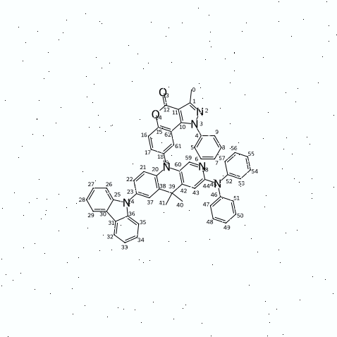 Cc1nn(-c2ccccc2)c2c1c(=O)oc1ccc(N3c4ccc(-n5c6ccccc6c6ccccc65)cc4C(C)(C)c4cc(N(c5ccccc5)c5ccccc5)ncc43)cc12